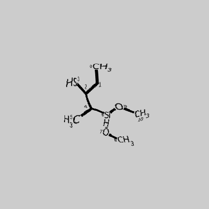 CCC(S)C(C)[SiH](OC)OC